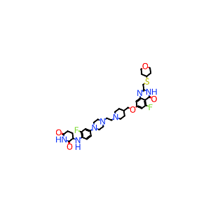 O=C1CCC(Nc2ccc(N3CCN(CCN4CCC(COc5cc(F)c6c(=O)[nH]c(CSC7CCOCC7)nc6c5)CC4)CC3)cc2F)C(=O)N1